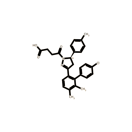 Cc1ccc([C@H]2CC(c3ccc(C)c(C)c3-c3ccc(Cl)cc3)=NN2C(=O)CCC(=O)O)cc1